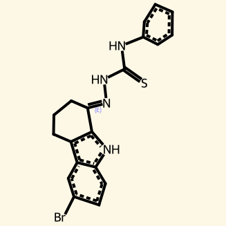 S=C(N/N=C1\CCCc2c1[nH]c1ccc(Br)cc21)Nc1ccccc1